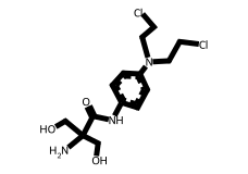 NC(CO)(CO)C(=O)Nc1ccc(N(CCCl)CCCl)cc1